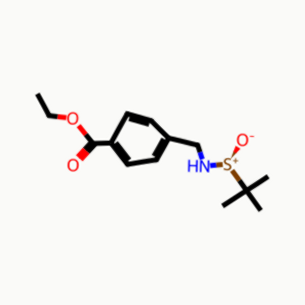 CCOC(=O)c1ccc(CN[S@@+]([O-])C(C)(C)C)cc1